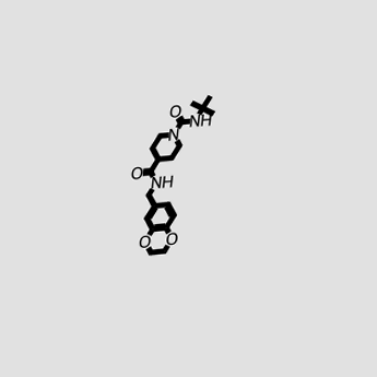 CC(C)(C)NC(=O)N1CCC(C(=O)NCc2ccc3c(c2)OCCO3)CC1